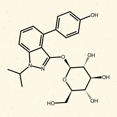 CC(C)n1nc(O[C@@H]2O[C@H](CO)[C@@H](O)[C@H](O)[C@H]2O)c2c(-c3ccc(O)cc3)cccc21